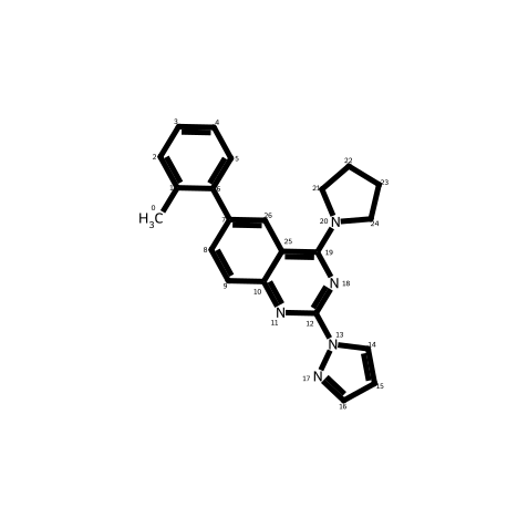 Cc1ccccc1-c1ccc2nc(-n3cccn3)nc(N3CCCC3)c2c1